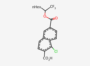 CCCCCCC(OC(=O)c1ccc2c(Cl)c(C(=O)O)ccc2c1)C(F)(F)F